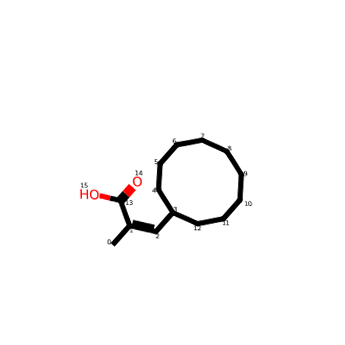 CC(=CC1CCCCCCCCC1)C(=O)O